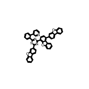 c1cncc(-c2ccccc2-c2nc(-c3ccc4c(c3)oc3ccccc34)nc(-c3ccc(-c4ccc5c(c4)oc4ccccc45)c4c3oc3ccccc34)n2)c1